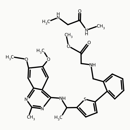 CNCC(=O)NC.COC(=O)CNCc1ccccc1-c1ccc(C(C)Nc2nc(C)nc3cc(OC)c(OC)cc23)s1